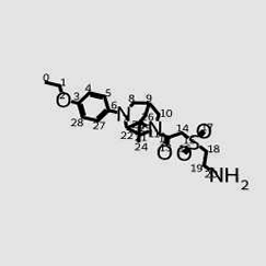 CCOc1ccc(N2CC3CN(C(=O)CS(=O)(=O)CCN)CC2C(C)(C)C3)cc1